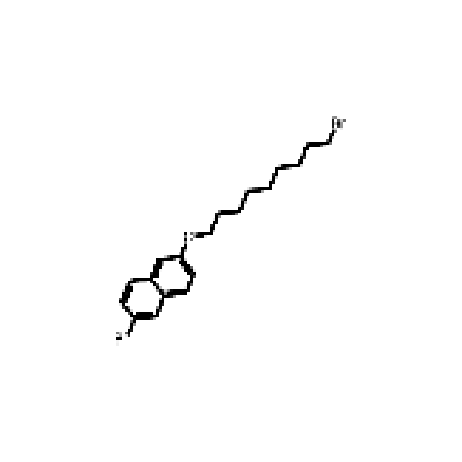 BrCCCCCCCCCOc1ccc2cc(Br)ccc2c1